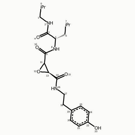 CC(C)CNC(=O)[C@H](CC(C)C)NC(=O)C1O[C@@H]1C(=O)NCCc1ccc(O)cc1